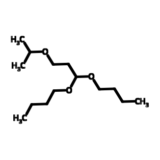 CCCCOC(CCOC(C)C)OCCCC